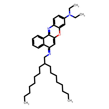 CCCCCCCCC(CCCCCCCC)C/N=c1/cc2oc3cc(N(CC)CC)ccc3nc-2c2ccccc12